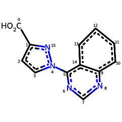 O=C(O)c1ccn(-c2ncnc3ccccc23)n1